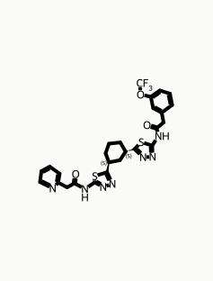 O=C(Cc1cccc(OC(F)(F)F)c1)Nc1nnc([C@H]2CCC[C@H](c3nnc(NC(=O)Cc4ccccn4)s3)C2)s1